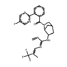 C=N/C(=N\C=C(/C)C(F)(F)F)NC1CC2CC1N(C(=O)c1ccccc1-c1ncc(F)cn1)C2